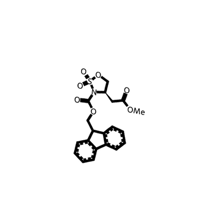 COC(=O)C[C@@H]1COS(=O)(=O)N1C(=O)OCC1c2ccccc2-c2ccccc21